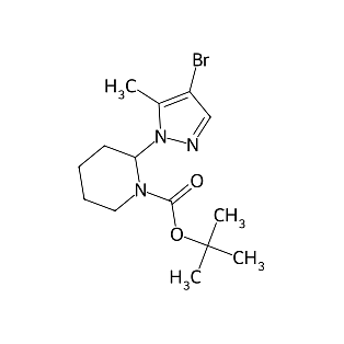 Cc1c(Br)cnn1C1CCCCN1C(=O)OC(C)(C)C